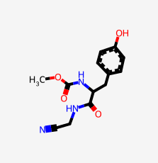 COC(=O)NC(Cc1ccc(O)cc1)C(=O)NCC#N